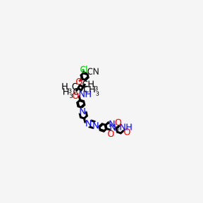 CC1(C)[C@H](NC(=O)c2ccc(N3CCC(CN4CCN(c5ccc6c(=O)n([C@@H]7CCC(=O)NC7=O)ncc6c5)CC4)CC3)cc2)C(C)(C)[C@H]1Oc1ccc(C#N)c(Cl)c1